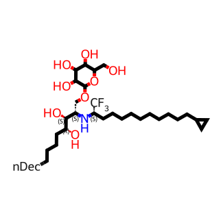 CCCCCCCCCCCCCC[C@@H](O)[C@@H](O)[C@H](COC1OC(CO)C(O)C(O)C1O)N[C@@H](CCCCCCCCCCC1CC1)C(F)(F)F